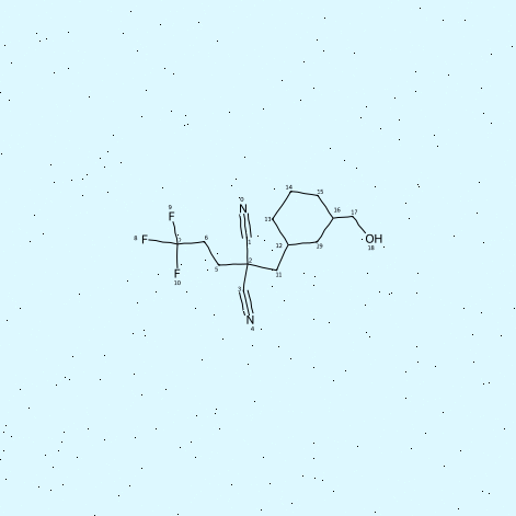 N#CC(C#N)(CCC(F)(F)F)CC1CCCC(CO)C1